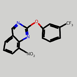 O=[N+]([O-])c1cccc2cnc(Oc3cccc(C(F)(F)F)c3)nc12